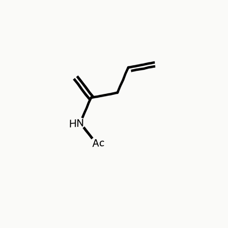 C=CCC(=C)NC(C)=O